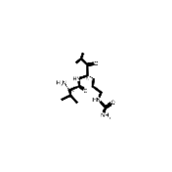 CC(C)C(=O)[C@H](CCCNC(N)=O)NC(=O)[C@@H](N)C(C)C